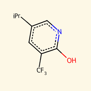 CC(C)c1cnc(O)c(C(F)(F)F)c1